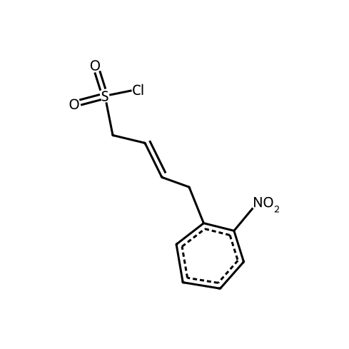 O=[N+]([O-])c1ccccc1CC=CCS(=O)(=O)Cl